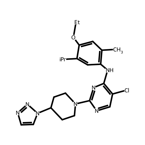 CCOc1cc(C)c(Nc2nc(N3CCC(n4ccnn4)CC3)ncc2Cl)cc1C(C)C